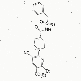 CCOC(=O)c1cc(C#N)c(N2CCC(C(=O)NS(=O)(=O)Cc3ccccc3)CC2)nc1CC